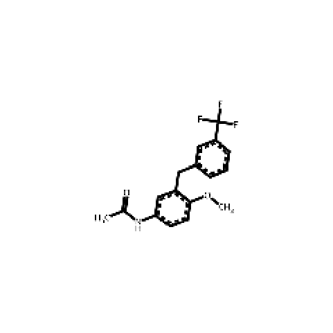 COc1ccc(NC(C)=O)cc1Cc1cccc(C(F)(F)F)c1